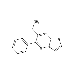 NCc1cc2nccn2nc1-c1ccccc1